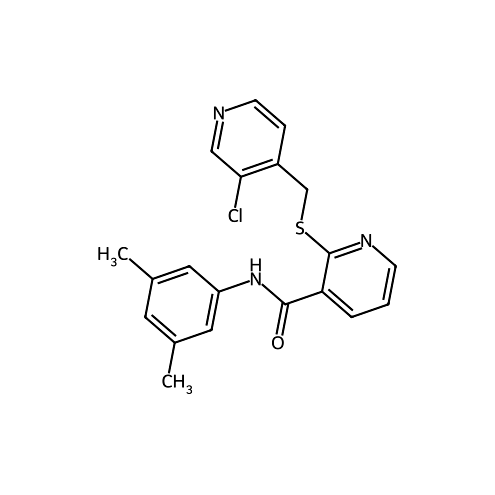 Cc1cc(C)cc(NC(=O)c2cccnc2SCc2ccncc2Cl)c1